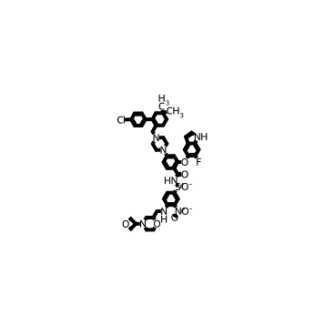 CC1(C)CCC(CN2CCN(c3ccc(C(=O)N[S+]([O-])c4ccc(NCC5CN(C6COC6)CCO5)c([N+](=O)[O-])c4)c(Oc4cc5cc[nH]c5cc4F)c3)CC2)=C(c2ccc(Cl)cc2)C1